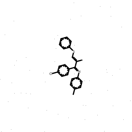 CC(=C\Sc1ccccc1)/C(=N/c1ccc(C)cc1)c1ccc(Cl)cc1